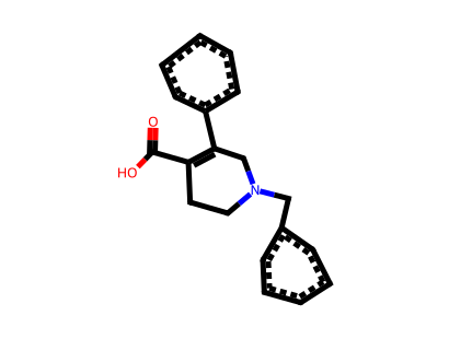 O=C(O)C1=C(c2ccccc2)CN(Cc2ccccc2)CC1